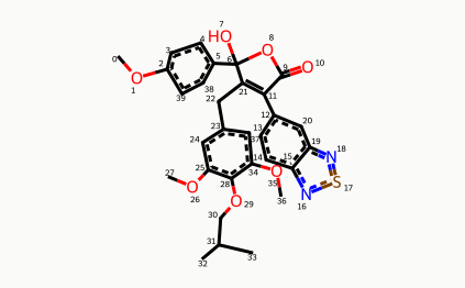 COc1ccc(C2(O)OC(=O)C(c3ccc4nsnc4c3)=C2Cc2cc(OC)c(OCC(C)C)c(OC)c2)cc1